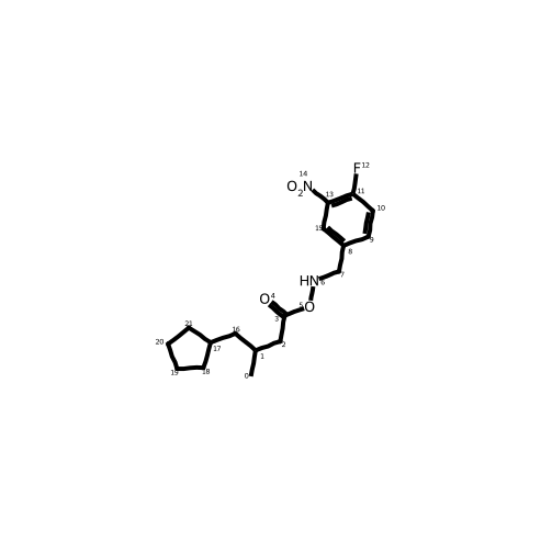 CC(CC(=O)ONCc1ccc(F)c([N+](=O)[O-])c1)CC1CCCC1